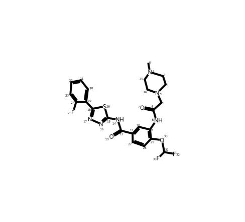 CN1CCN(CC(=O)Nc2cc(C(=O)Nc3nnc(-c4ccccc4F)s3)ccc2OC(F)F)CC1